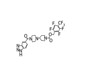 O=C(OCc1c(F)c(F)c(C(F)(F)F)c(F)c1F)N1CCC(N2CCN(C(=O)c3ccc4[nH]nnc4c3)CC2)CC1